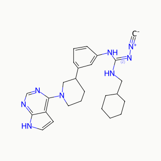 [C-]#[N+]/N=C(/NCC1CCCCC1)Nc1cccc(C2CCCN(c3ncnc4[nH]ccc34)C2)c1